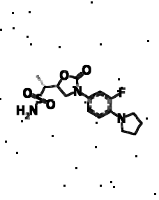 C[C@H](C1CN(c2ccc(N3CCCC3)c(F)c2)C(=O)O1)S(N)(=O)=O